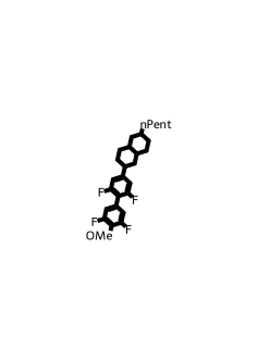 CCCCCC1CCC2CC(c3cc(F)c(-c4cc(F)c(OC)c(F)c4)c(F)c3)CCC2C1